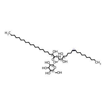 CCCCCCCCC/C=C\CCC[C@@H](O)[C@@H](O)[C@H](CO[C@@H]1O[C@H](CO)[C@@H](O)C(O)C1O)NC(=O)[C@H](O)CCCCCCCCCCCCCCCCCC